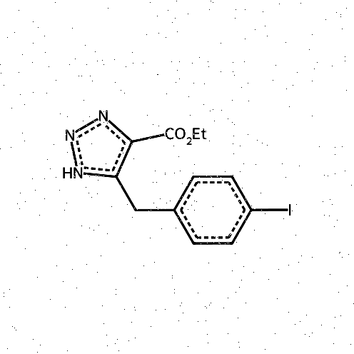 CCOC(=O)c1nn[nH]c1Cc1ccc(I)cc1